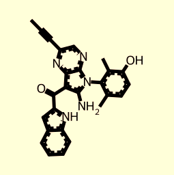 CC#Cc1cnc2c(n1)c(C(=O)c1cc3ccccc3[nH]1)c(N)n2-c1c(C)ccc(O)c1C